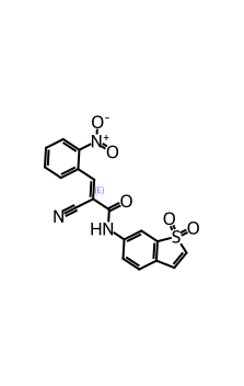 N#C/C(=C\c1ccccc1[N+](=O)[O-])C(=O)Nc1ccc2c(c1)S(=O)(=O)C=C2